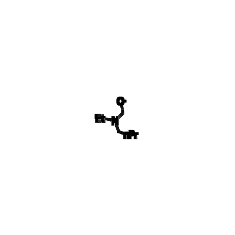 CCCCN(CC)C[O]